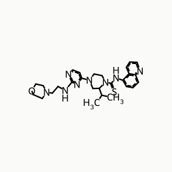 CC(C)C1CN(c2ccnc(NCCN3CCOCC3)n2)CCN1C(=S)Nc1cccc2ncccc12